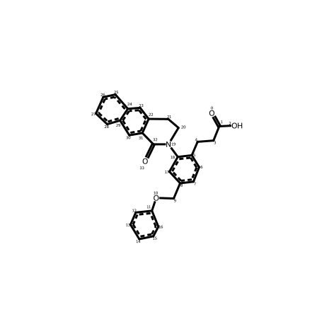 O=C(O)CCc1ccc(COc2ccccc2)cc1N1CCc2cc3ccccc3cc2C1=O